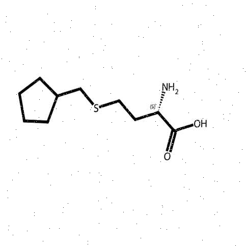 N[C@@H](CCSCC1CCCC1)C(=O)O